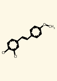 COc1ccc(C=Cc2ccc(Cl)c(Cl)c2)cc1